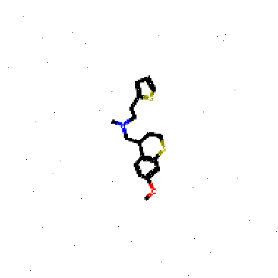 COc1ccc2c(c1)SCCC2CN(C)CCc1cccs1